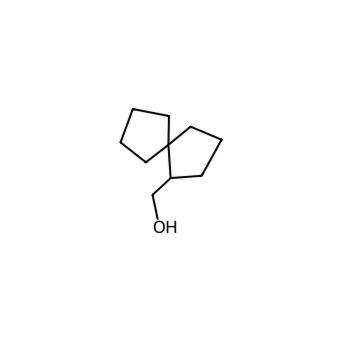 OCC1CCCC12CCCC2